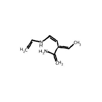 C=CN/C=C\C(=C/C)C(=C)N